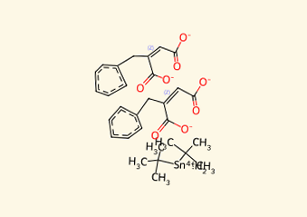 C[C](C)(C)[SnH2+4][C](C)(C)C.O=C([O-])/C=C(/Cc1ccccc1)C(=O)[O-].O=C([O-])/C=C(/Cc1ccccc1)C(=O)[O-]